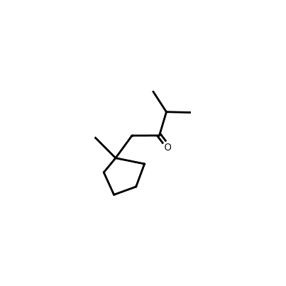 CC(C)C(=O)CC1(C)CCCC1